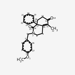 COc1ccc(CN2CCC3=C(C)C(=O)CCC3(c3ccccc3)C2=O)cc1